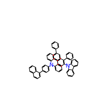 c1ccc(-c2ccc(-c3ccccc3N(c3ccc(-c4cccc5ccccc45)cc3)c3ccccc3-c3ccc(-n4c5ccccc5c5ccccc54)c(-c4ccccc4)c3)cc2)cc1